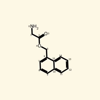 NCC(=O)OCc1cccc2ccccc12